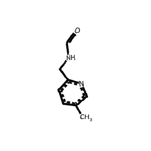 Cc1ccc(CNC=O)nc1